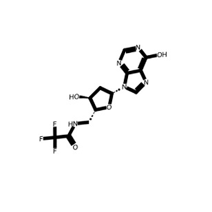 O=C(NC[C@H]1O[C@@H](n2cnc3c(O)ncnc32)C[C@@H]1O)C(F)(F)F